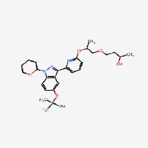 CC(O)CCOCC(C)Oc1cccc(-c2nn(C3CCCCO3)c3ccc(O[Si](C)(C)C(C)(C)C)cc23)n1